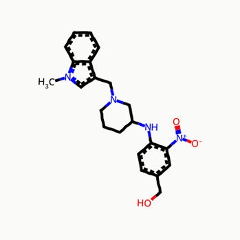 Cn1cc(CN2CCCC(Nc3ccc(CO)cc3[N+](=O)[O-])C2)c2ccccc21